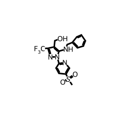 CS(=O)(=O)c1ccc(-n2nc(C(F)(F)F)c(CO)c2NCc2ccccc2)nc1